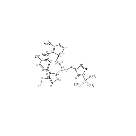 CCOC(=O)C(C)(C)c1nnn(CC[C@H]2O[C@H](c3cccc(OC)c3OC)c3cc(Cl)ccc3-n3c(CF)nnc32)n1